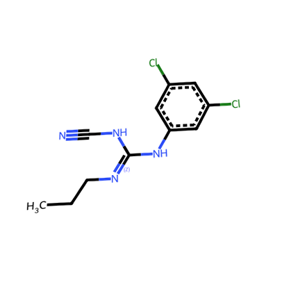 CCC/N=C(\NC#N)Nc1cc(Cl)cc(Cl)c1